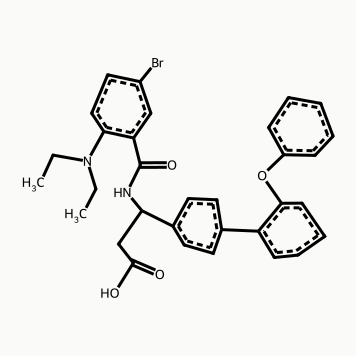 CCN(CC)c1ccc(Br)cc1C(=O)NC(CC(=O)O)c1ccc(-c2ccccc2Oc2ccccc2)cc1